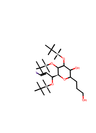 CC(C)(C)[Si](C)(C)OC1C(O)C(CCCO)O[C@@H](C(/C=C/I)O[Si](C)(C)C(C)(C)C)C1O[Si](C)(C)C(C)(C)C